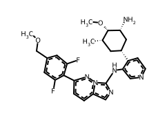 COCc1cc(F)c(-c2ccc3cnc(Nc4cnccc4[C@H]4C[C@@H](N)[C@@H](OC)[C@@H](C)C4)n3n2)c(F)c1